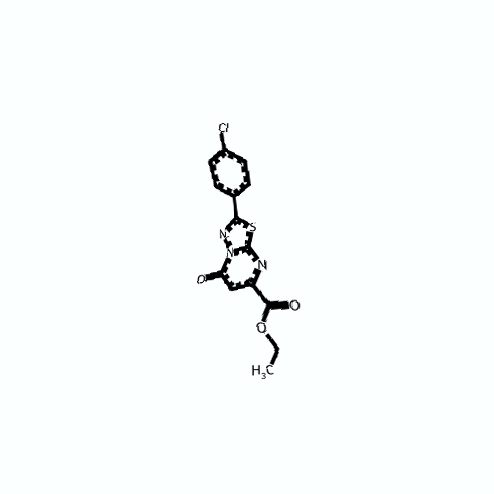 CCOC(=O)c1cc(=O)n2nc(-c3ccc(Cl)cc3)sc2n1